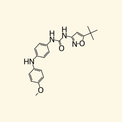 COc1ccc(Nc2ccc(NC(=O)Nc3cc(C(C)(C)C)on3)cc2)cc1